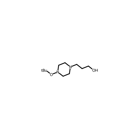 CC(C)(C)ON1CCN(CCCO)CC1